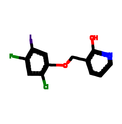 Oc1ncccc1COc1cc(I)c(F)cc1Cl